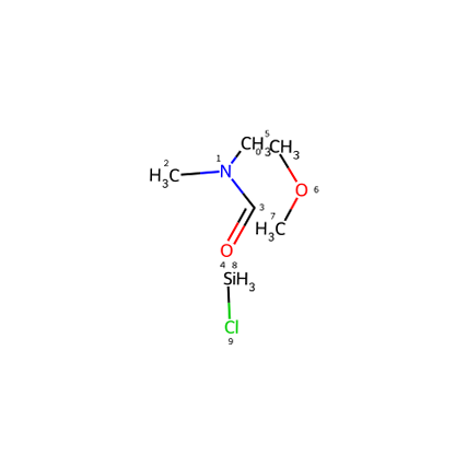 CN(C)C=O.COC.[SiH3]Cl